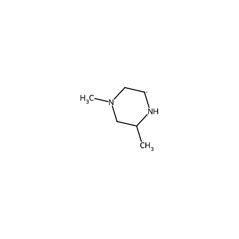 CC1CN(C)C[CH]N1